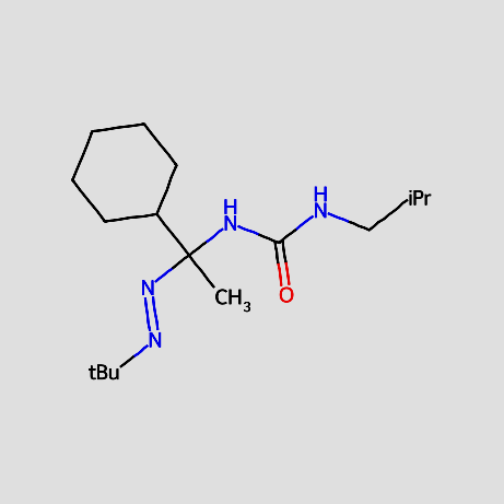 CC(C)CNC(=O)NC(C)(N=NC(C)(C)C)C1CCCCC1